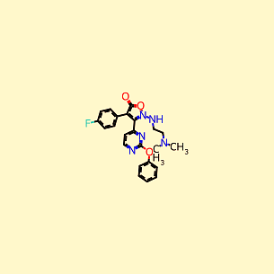 CN(C)CCNn1oc(=O)c(-c2ccc(F)cc2)c1-c1ccnc(Oc2ccccc2)n1